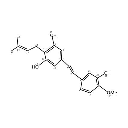 COc1ccc(C=Cc2cc(O)c(CC=C(C)C)c(O)c2)cc1O